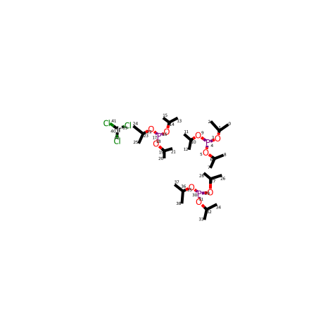 CC(C)OP(OC(C)C)OC(C)C.CC(C)OP(OC(C)C)OC(C)C.CC(C)OP(OC(C)C)OC(C)C.[Cl][Ir]([Cl])[Cl]